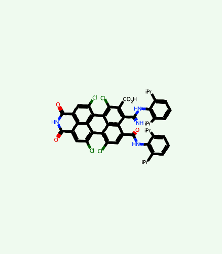 CC(C)c1cccc(C(C)C)c1NC(=N)c1c(C(=O)O)c(Cl)c2c3c(Cl)cc4c5c(cc(Cl)c(c6c(Cl)cc(C(=O)Nc7c(C(C)C)cccc7C(C)C)c1c62)c53)C(=O)NC4=O